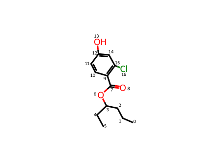 CCCC(CC)OC(=O)c1ccc(O)cc1Cl